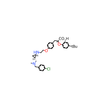 CN(Cc1ccc(Cl)cc1)C[C@@H]1C[C@H]1NCCOc1ccc(C[C@H](Oc2ccc(C(C)(C)C)cc2)C(=O)O)cc1